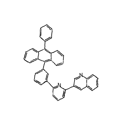 c1ccc(-c2c3ccccc3c(-c3cccc(-c4cccc(-c5cnc6ccccc6c5)n4)c3)c3ccccc23)cc1